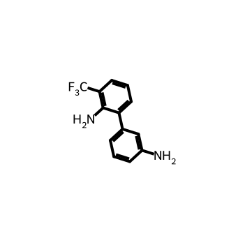 Nc1cccc(-c2cccc(C(F)(F)F)c2N)c1